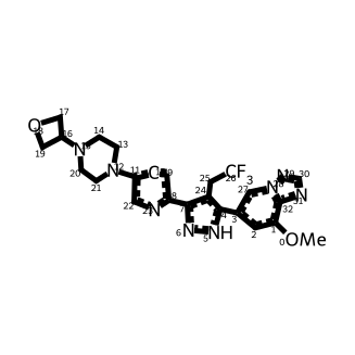 COc1cc(-c2[nH]nc(-c3ccc(N4CCN(C5COC5)CC4)cn3)c2CC(F)(F)F)cn2ncnc12